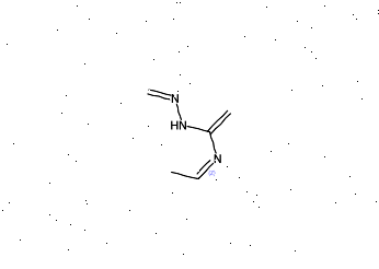 C=NNC(=C)/N=C\C